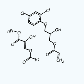 C=CC(=O)OCC(O)COc1ccc(Cl)cc1Cl.CCCOC(=O)C(O)=COC(=O)CC